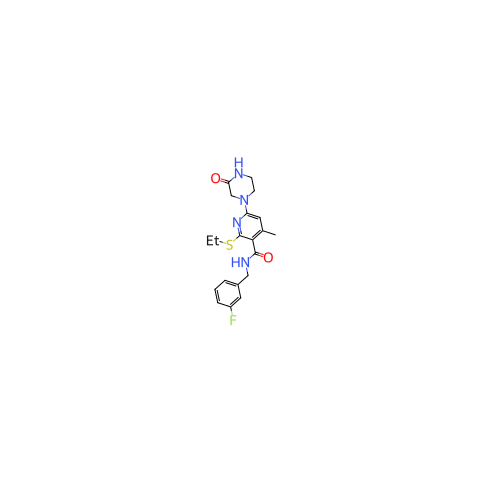 CCSc1nc(N2CCNC(=O)C2)cc(C)c1C(=O)NCc1cccc(F)c1